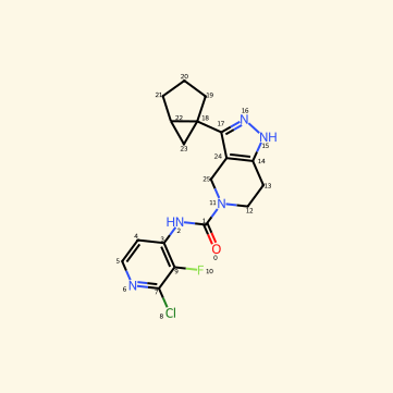 O=C(Nc1ccnc(Cl)c1F)N1CCc2[nH]nc(C34CCCC3C4)c2C1